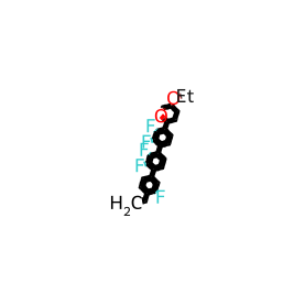 C=Cc1ccc(-c2ccc(-c3ccc(C4CCC(OCC)CO4)c(F)c3F)c(F)c2F)cc1F